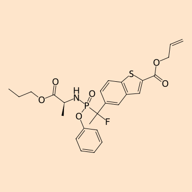 C=CCOC(=O)c1cc2cc(C(C)(F)P(=O)(N[C@@H](C)C(=O)OCCC)Oc3ccccc3)ccc2s1